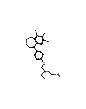 CC[C@H](CCN)COc1ccc(C2=CCCCc3c2cc(C)c(C)c3C)cc1